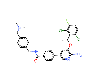 CC(Oc1cc(-c2ccc(C(=O)NCc3ccc(CN(C)C)cc3)cc2)cnc1N)c1c(Cl)ccc(F)c1Cl